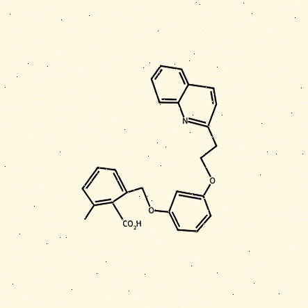 Cc1cccc(COc2cccc(OCCc3ccc4ccccc4n3)c2)c1C(=O)O